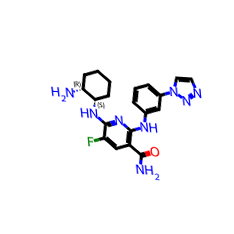 NC(=O)c1cc(F)c(N[C@H]2CCCC[C@H]2N)nc1Nc1cccc(-n2ccnn2)c1